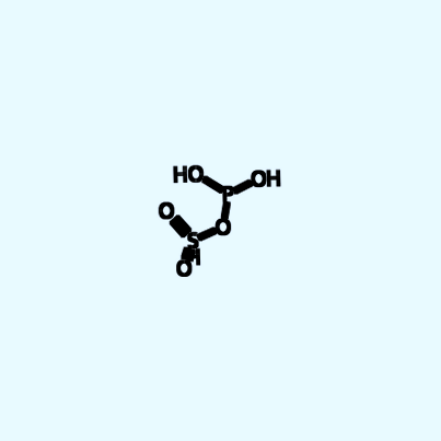 O=[SH](=O)OP(O)O